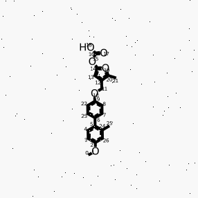 COc1ccc(-c2ccc(OCc3cc(OC(=O)O)oc3C)cc2)c(C)c1